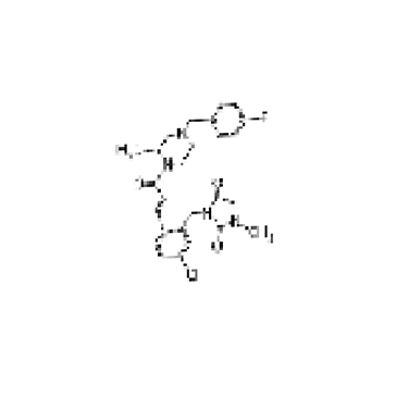 CC1CN(Cc2ccc(F)cc2)CCN1C(=O)C=Cc1ccc(Cl)cc1CN1C(=O)CN(C)C1=O